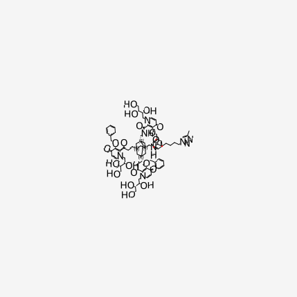 Cc1cn(CCCCCC(=O)NC[C@]23C[C@]4(CCC(=O)c5c(OCc6ccccc6)c(=O)ccn5CC(O)C(O)CO)C[C@](CCC(=O)c5c(OCc6ccccc6)c(=O)ccn5CC(O)C(O)CO)(C2)C[C@@](CNC(=O)c2c(OCc5ccccc5)c(=O)ccn2CC(O)C(O)CO)(C4)C3)nn1